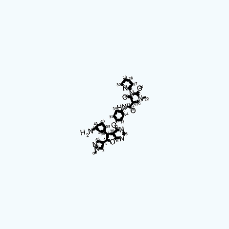 Cn1cc(-c2oc3ncnc(Oc4ccc(NC(=O)c5cn(C)c(=O)n(-c6ccccn6)c5=O)cc4)c3c2-c2cccc(N)c2)cn1